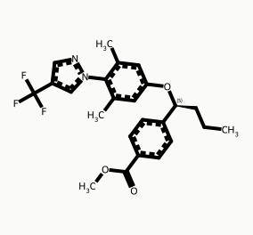 CCC[C@H](Oc1cc(C)c(-n2cc(C(F)(F)F)cn2)c(C)c1)c1ccc(C(=O)OC)cc1